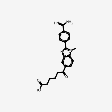 Cn1c(-c2ccc(C(=N)N)cc2)nc2cc(C(=O)CCCCC(=O)O)ccc21